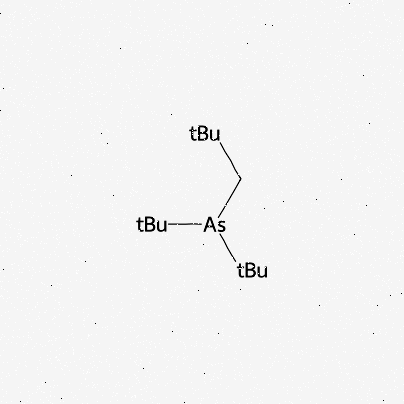 CC(C)(C)C[As](C(C)(C)C)C(C)(C)C